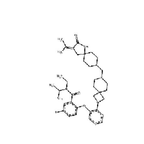 CCN(C(=O)c1cc(F)ccc1Oc1cncnc1N1CC2(CCN(CC3CCC4(CC3)CC(=C(C)C)C(=O)N4)CC2)C1)C(C)C